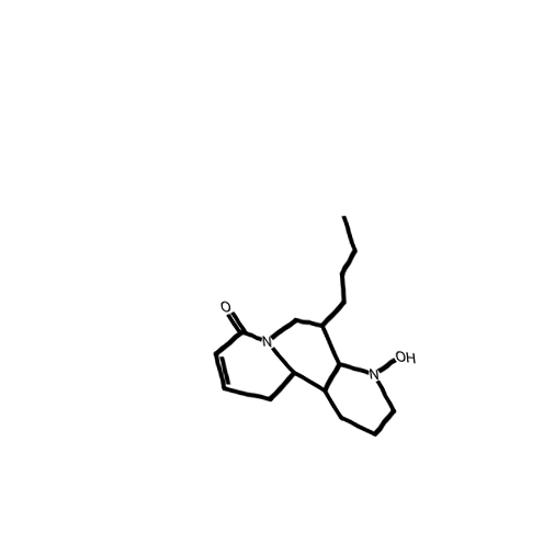 CCCCC1CN2C(=O)C=CCC2C2CCCN(O)C12